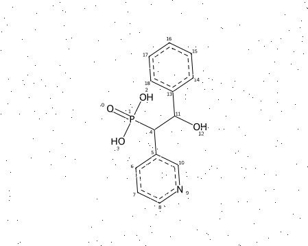 O=P(O)(O)C(c1cccnc1)C(O)c1ccccc1